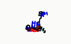 CO[C@H](CF)CN(CCCCc1ccc2c(n1)NCCC2)CC[C@H](NC(=O)C1CCCc2ccnn21)C(=O)O